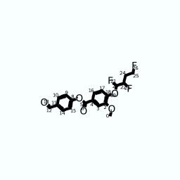 COc1cc(C(=O)Oc2ccc(C=O)cc2)ccc1OC(F)C(F)CCF